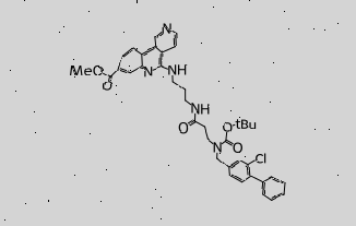 COC(=O)c1ccc2c(c1)nc(NCCCNC(=O)CCN(Cc1ccc(-c3ccccc3)c(Cl)c1)C(=O)OC(C)(C)C)c1ccncc12